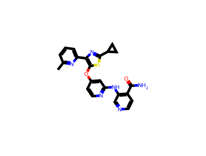 Cc1cccc(-c2nc(C3CC3)sc2Oc2ccnc(Nc3cnccc3C(N)=O)c2)n1